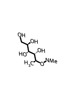 CNO[C@@H](C)[C@@H](O)[C@H](O)[C@H](O)CO